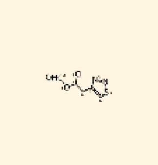 O=COC(Cl)Cc1csnn1